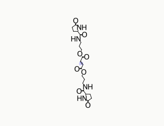 O=C1CCC(C(=O)NCCCOC(=O)/C=C/C(=O)OCCCNC(=O)C2CCC(=O)N2)N1